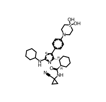 N#CC1(NC(=O)[C@@H]2CCCC[C@H]2c2nc(NC3CCCCC3)sc2-c2ccc(N3CCS(O)(O)CC3)cc2)CC1